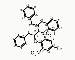 O=C(O)[C@@H]([C@H](Cc1ccccc1)Oc1ccc(F)cc1[N+](=O)[O-])N(Cc1ccccc1)Cc1ccccc1